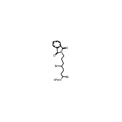 CCCCCC(Br)CCC(Br)CCCN1C(=O)c2ccccc2C1=O